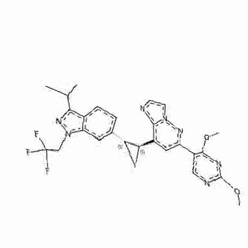 COc1ncc(-c2cc([C@H]3C[C@@H]3c3ccc4c(C(C)C)nn(CC(F)(F)F)c4c3)c3nccn3n2)c(OC)n1